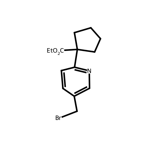 CCOC(=O)C1(c2ccc(CBr)cn2)CCCC1